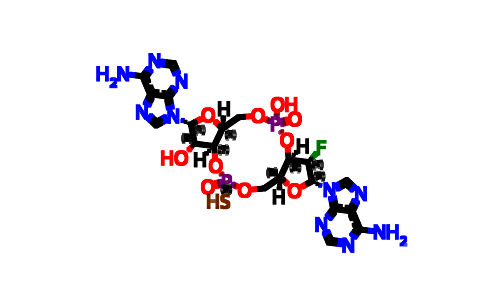 Nc1ncnc2c1ncn2[C@@H]1O[C@@H]2COP(=O)(O)O[C@H]3[C@@H](F)[C@H](n4cnc5c(N)ncnc54)O[C@@H]3CO[P@@](=O)(S)O[C@H]2[C@H]1O